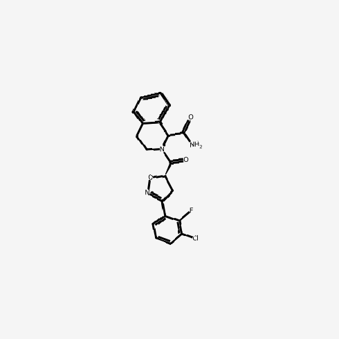 NC(=O)C1c2ccccc2CCN1C(=O)[C@H]1CC(c2cccc(Cl)c2F)=NO1